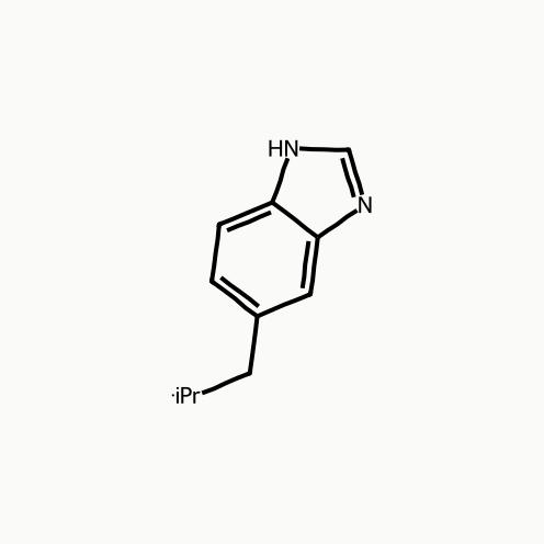 C[C](C)Cc1ccc2[nH]cnc2c1